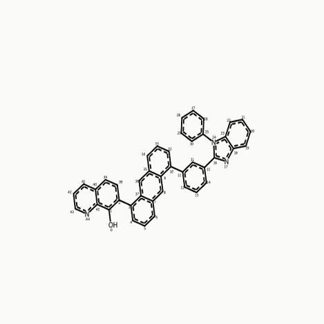 Oc1c(-c2cccc3cc4c(-c5cccc(-c6nc7ccccc7n6-c6ccccc6)c5)cccc4cc23)ccc2cccnc12